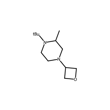 CC1CN(C2COC2)CCN1C(C)(C)C